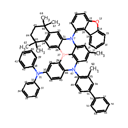 Cc1cc2c3c(c1)N(c1cccc4oc5ccccc5c14)c1cc4c(cc1B3c1cc(N(c3ccccc3)c3ccccc3)ccc1N2c1ccc(-c2ccccc2)cc1C)C(C)(C)CCC4(C)C